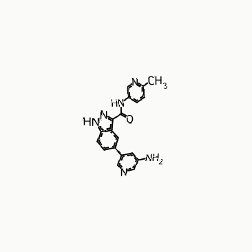 Cc1ccc(NC(=O)c2n[nH]c3ccc(-c4cncc(N)c4)cc23)cn1